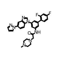 CN1CCN(CC(=O)Nc2cc(-c3ccc(F)cc3F)cc(-n3cnc4cc(-n5cccn5)ccc43)c2)CC1